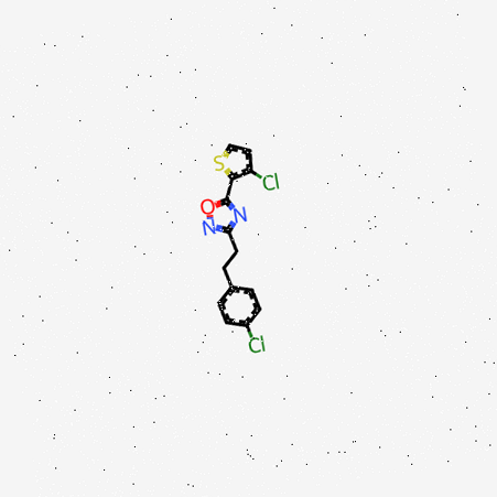 Clc1ccc(CCc2noc(-c3sccc3Cl)n2)cc1